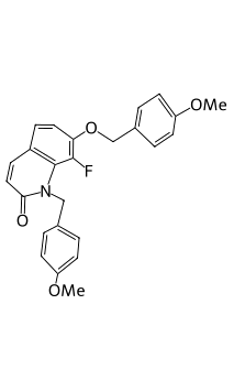 COc1ccc(COc2ccc3ccc(=O)n(Cc4ccc(OC)cc4)c3c2F)cc1